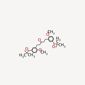 COc1ccc(C2OCC2(C)C)cc1CCC(=O)CCc1cc(C2OCC2(C)C)ccc1OC